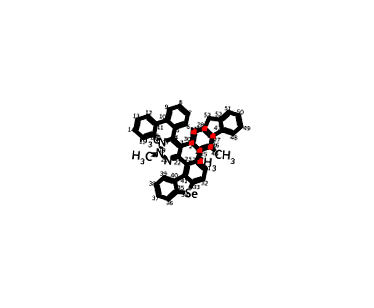 Cc1c(C2=C(c3ccccc3-c3ccccc3)N(C)N(C)N=C2c2c(-c3ccccc3)ccc3[se]c4ccccc4c23)nc2c(c1C)-c1ccccc1C2